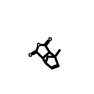 CC12C=CC(C1)C1C(=O)OC(=O)C12